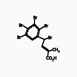 CC(=CC(Br)c1cc(Br)c(Br)c(Br)c1Br)C(=O)O